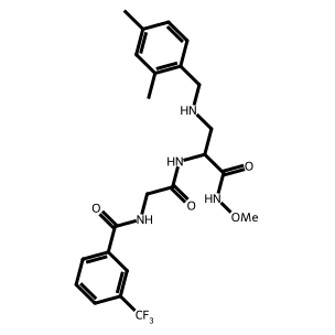 CONC(=O)C(CNCc1ccc(C)cc1C)NC(=O)CNC(=O)c1cccc(C(F)(F)F)c1